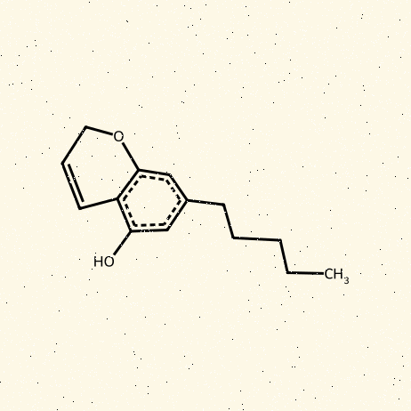 CCCCCc1cc(O)c2c(c1)OCC=C2